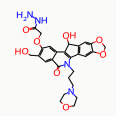 NNC(=O)COc1cc2c3c(n(CCCN4CCOCC4)c(=O)c2cc1CO)-c1cc2c(cc1C3O)OCO2